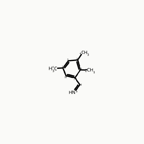 Cc1cc(C)c(C)c(C=N)c1